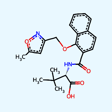 Cc1cc(COc2c(C(=O)N[C@H](C(=O)O)C(C)(C)C)ccc3ccccc23)no1